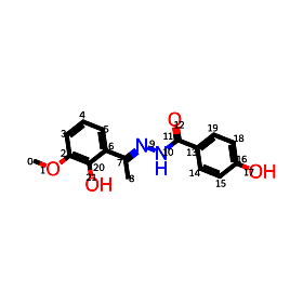 COc1cccc(C(C)=NNC(=O)c2ccc(O)cc2)c1O